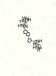 c1cc(-c2ccc3cc(-c4c[nH]c([C@@H]5C[C@H]6CC[C@H]6N5)n4)ccc3c2)cc(-c2c[nH]c([C@@H]3CC4C[C@H]4N3)n2)c1